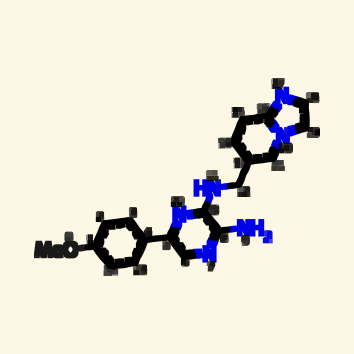 COc1ccc(-c2cnc(N)c(NCc3ccc4nccn4c3)n2)cc1